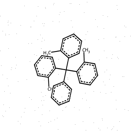 Cc1ccccc1C(c1ccccc1)(c1ccccc1C)c1ccccc1C